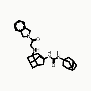 O=C(NC12CC3CC(C1)C(C3)C2)NC12CC3CC4CC(NCC(=O)N5Cc6ccccc6C5)(C1)C34C2